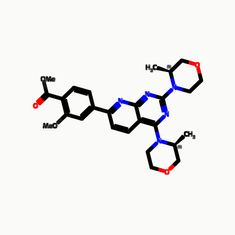 COC(=O)c1ccc(-c2ccc3c(N4CCOC[C@@H]4C)nc(N4CCOC[C@@H]4C)nc3n2)cc1OC